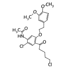 COc1ccc(CCOc2cc(NC(C)=O)c(Cl)cc2C(=O)CCCCCl)cc1OC